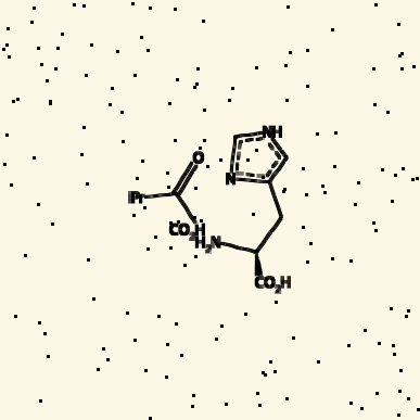 CC(C)C(=O)C(=O)O.N[C@@H](Cc1c[nH]cn1)C(=O)O